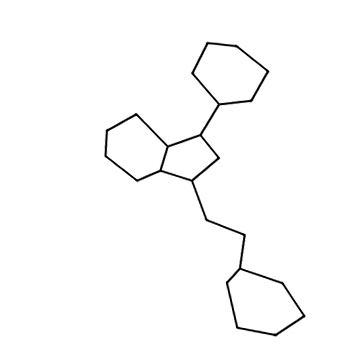 C1CCC(CCC2CC(C3CCCCC3)C3CCCCC23)CC1